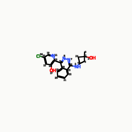 CC1(O)CC(Nc2nnc(-c3ncc(Cl)cc3O)c3ccccc23)C1